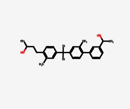 CCC(CC)(c1ccc(CCC(O)C(C)(C)C)c(C)c1)c1ccc(-c2cccc(C(C)O)c2)c(C)c1